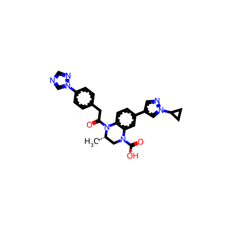 C[C@H]1CN(C(=O)O)c2cc(-c3cnn(C4CC4)c3)ccc2N1C(=O)Cc1ccc(-n2cncn2)cc1